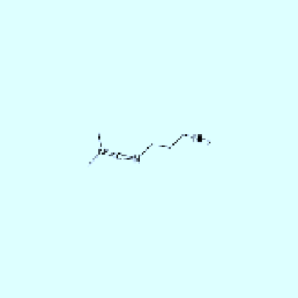 C[N+](C)=C=NCCCN